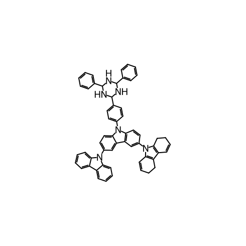 C1=Cc2c(c3c(n2-c2ccc4c(c2)c2cc(-n5c6ccccc6c6ccccc65)ccc2n4-c2ccc(C4NC(c5ccccc5)NC(c5ccccc5)N4)cc2)CCC=C3)CC1